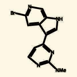 CNc1nccc(-c2c[nH]c3cnc(Br)cc23)n1